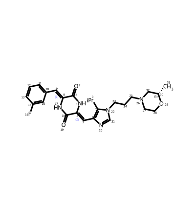 CC(C)c1c(/C=c2\[nH]c(=O)/c(=C/c3cccc(F)c3)[nH]c2=O)ncn1CCCN1CCO[C@@H](C)C1